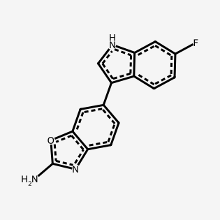 Nc1nc2ccc(-c3c[nH]c4cc(F)ccc34)cc2o1